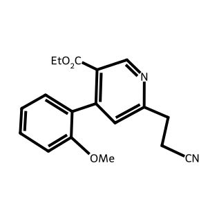 CCOC(=O)c1cnc(CCC#N)cc1-c1ccccc1OC